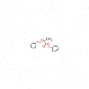 CC(OCCc1ccccc1)C(=O)OCc1ccccc1